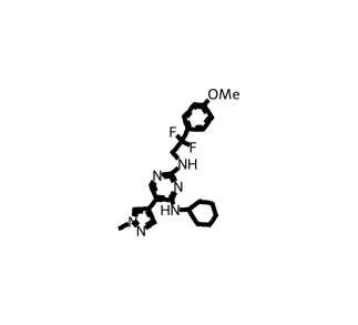 COc1ccc(C(F)(F)CNc2ncc(-c3cnn(C)c3)c(NC3CCCCC3)n2)cc1